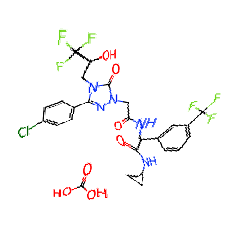 O=C(Cn1nc(-c2ccc(Cl)cc2)n(C[C@H](O)C(F)(F)F)c1=O)NC(C(=O)NC1CC1)c1cccc(C(F)(F)F)c1.O=C(O)O